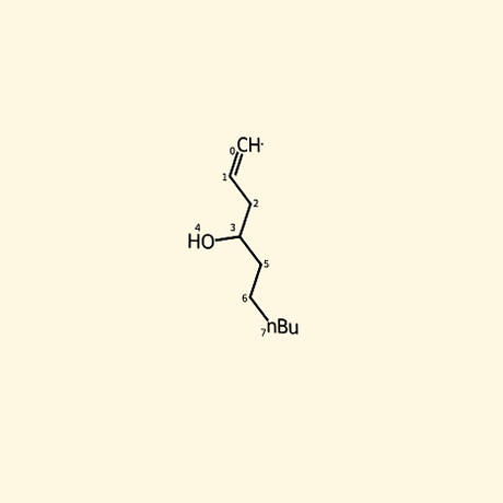 [CH]=CCC(O)CCCCCC